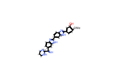 COc1ccc(-c2nc3ccc(-c4nc5ccc(C(=N)C6=NCCCN6)cc5[nH]4)cc3[nH]2)cc1O